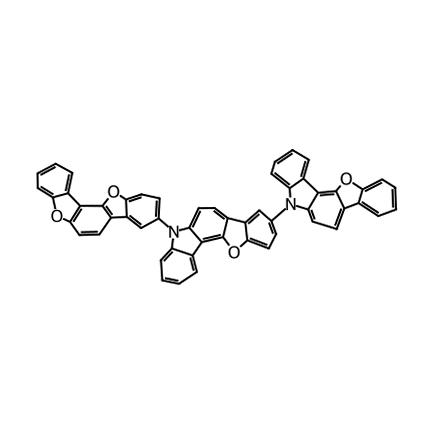 c1ccc2c(c1)oc1c2ccc2c1c1ccccc1n2-c1ccc2oc3c(ccc4c3c3ccccc3n4-c3ccc4oc5c(ccc6oc7ccccc7c65)c4c3)c2c1